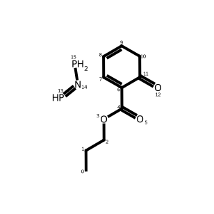 CCCOC(=O)C1=CC=CCC1=O.P=NP